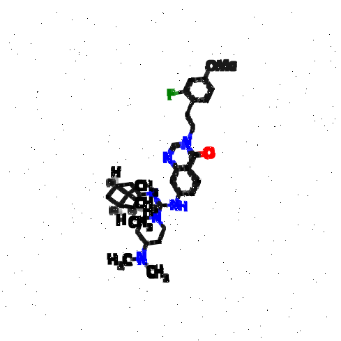 COc1ccc(CCn2cnc3cc(NC(=NC4C[C@@H]5C[C@H]([C@@H]4C)C5(C)C)N4CCC(N(C)C)CC4)ccc3c2=O)c(F)c1